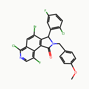 COc1ccc(CN2C(=O)c3c(c(Br)cc4c(Cl)ncc(F)c34)C2c2cc(F)ccc2Cl)cc1